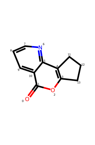 O=c1oc2c(c3ncccc13)CCC2